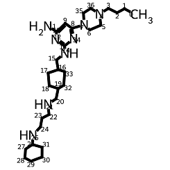 CCCCN1CCN(c2cc(N)nc(NCC3CCC(CNCCCNC4CCCCC4)CC3)n2)CC1